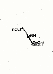 CCCCCCCCC(CCCCCCCC)OC(=O)CCCCCCCN(CCO)CCCCCCCCC1CC1CCCCCCCC